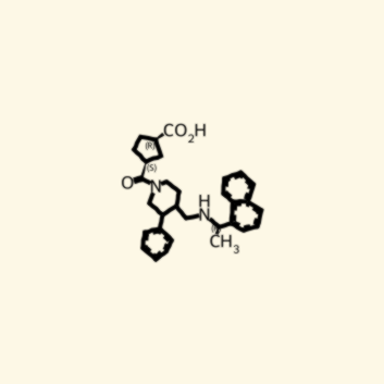 C[C@@H](NCC1CCN(C(=O)[C@H]2CC[C@@H](C(=O)O)C2)CC1c1ccccc1)c1cccc2ccccc12